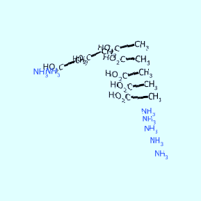 CC(=O)O.CC(=O)O.CC(=O)O.CC(=O)O.CC(=O)O.CC(=O)O.CC(=O)O.N.N.N.N.N.N.N